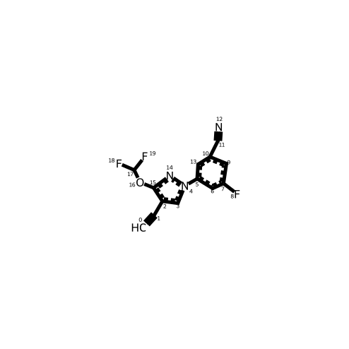 C#Cc1cn(-c2cc(F)cc(C#N)c2)nc1OC(F)F